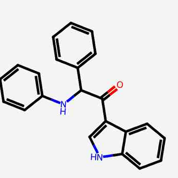 O=C(c1c[nH]c2ccccc12)C(Nc1ccccc1)c1ccccc1